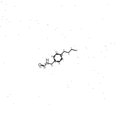 CCCCc1ccc(CN[C]=O)cc1